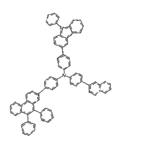 c1ccc(-c2c(-c3ccccc3)c3cc(-c4ccc(N(c5ccc(-c6ccc7ccccc7c6)cc5)c5ccc(-c6ccc7c(c6)c6ccccc6n7-c6ccccc6)cc5)cc4)ccc3c3ccccc23)cc1